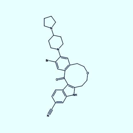 N#Cc1ccc2c3c([nH]c2c1)CCOCCc1cc(N2CCC(N4CCCC4)CC2)c(Br)cc1C3=O